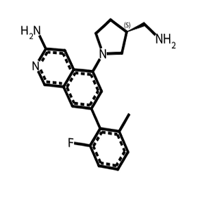 Cc1cccc(F)c1-c1cc(N2CC[C@@H](CN)C2)c2cc(N)ncc2c1